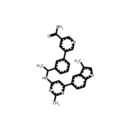 Cc1nc(NC(C)c2cccc(-c3cncc(C(N)=O)c3)c2)cc(-c2ccc3occ(C)c3c2)n1